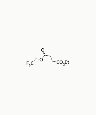 CCOC(=O)CCC(=O)OCC(F)(F)F